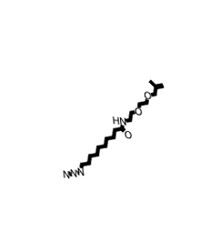 C=C(C)COCCOCCNC(=O)CCCCCCCCCN=[N+]=[N-]